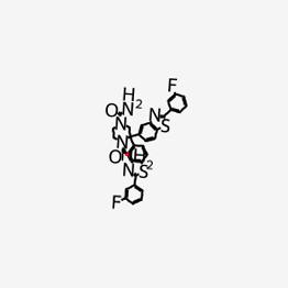 NC(=O)N1CCN(C(N)=O)C(c2ccc3sc(-c4cccc(F)c4)nc3c2)(c2ccc3sc(-c4cccc(F)c4)nc3c2)C1